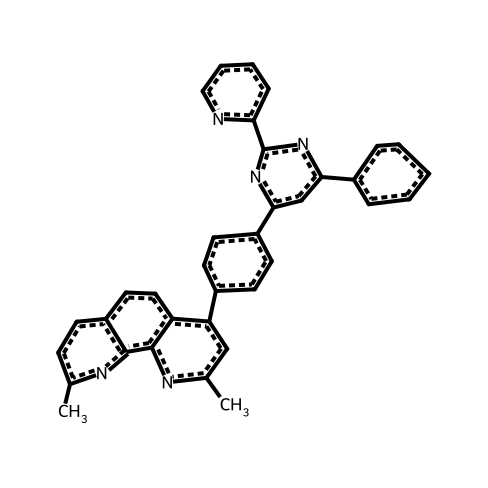 Cc1ccc2ccc3c(-c4ccc(-c5cc(-c6ccccc6)nc(-c6ccccn6)n5)cc4)cc(C)nc3c2n1